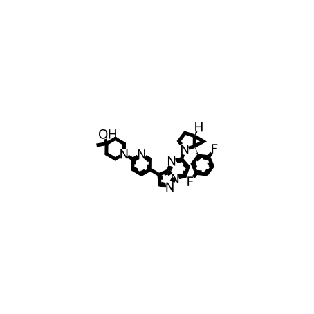 CC1(O)CCN(c2ccc(-c3cnn4ccc(N5CC[C@H]6C[C@]65c5cc(F)ccc5F)nc34)cn2)CC1